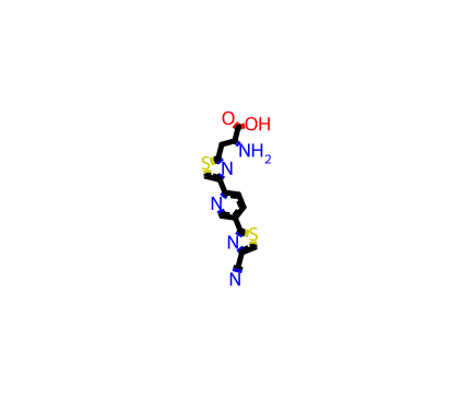 N#Cc1csc(-c2ccc(-c3csc(CC(N)C(=O)O)n3)nc2)n1